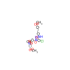 CCN([C@H]1CC[C@H](C(=O)OC)CC1)S(=O)(=O)c1cccc(C(=O)Nc2ccc(Cl)cc2C(=O)Nc2ccc(CCc3ccc(C(=O)OC)cc3)cc2)c1